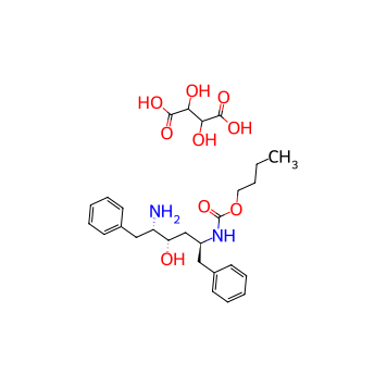 CCCCOC(=O)N[C@@H](Cc1ccccc1)C[C@H](O)[C@@H](N)Cc1ccccc1.O=C(O)C(O)C(O)C(=O)O